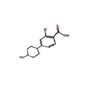 COC(=O)c1ccc(N2CCC(C=O)CC2)cc1Br